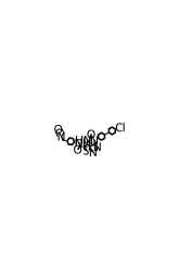 O=C(Nc1ccc(CN2CCOCC2)cc1)c1sc2ncnc3c2c1NC(=O)N3c1ccc(-c2ccc(Cl)cc2)cc1